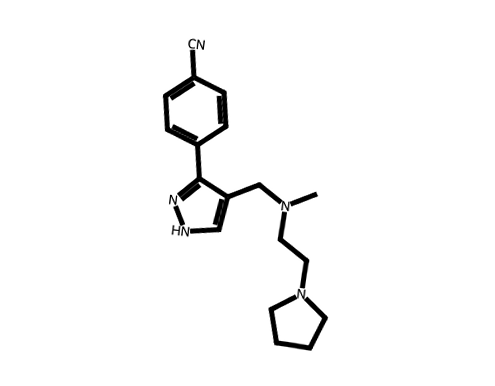 CN(CCN1CCCC1)Cc1c[nH]nc1-c1ccc(C#N)cc1